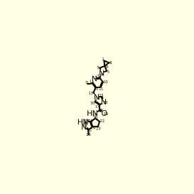 Cc1nc(N2CC3(CC3)C2)ccc1Cn1cnc(C(=O)N[C@@H]2CCc3c(C)n[nH]c32)c1